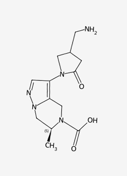 C[C@H]1Cn2ncc(N3CC(CN)CC3=O)c2CN1C(=O)O